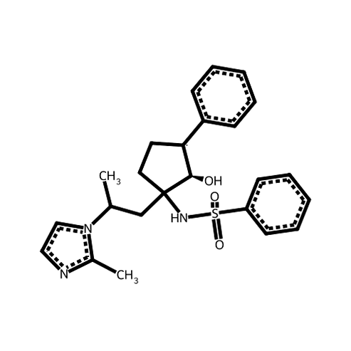 Cc1nccn1C(C)CC1(NS(=O)(=O)c2ccccc2)CC[C](c2ccccc2)[C@H]1O